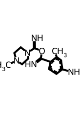 Cc1cc(N)ccc1C(=N)OC(=N)N1CCN(C)CC1